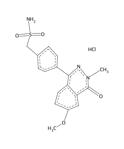 COc1ccc2c(-c3ccc(CS(N)(=O)=O)cc3)nn(C)c(=O)c2c1.Cl